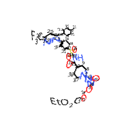 CCOC(=O)OCOn1on1N1CCC(C(=O)NS(=O)(=O)c2ccc(-n3nc(C(F)(F)F)cc3-c3ccc(C)cc3)cc2)CC1